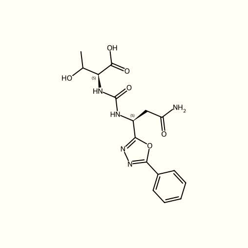 CC(O)[C@H](NC(=O)N[C@@H](CC(N)=O)c1nnc(-c2ccccc2)o1)C(=O)O